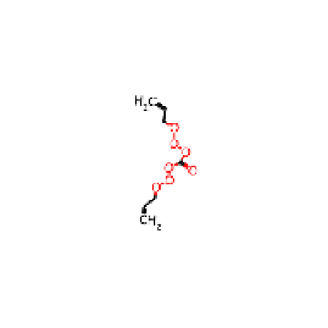 C=CCOOOC(=O)OOOCC=C